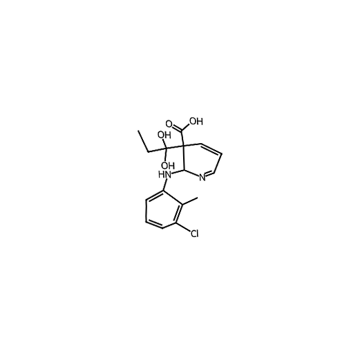 CCC(O)(O)C1(C(=O)O)C=CC=NC1Nc1cccc(Cl)c1C